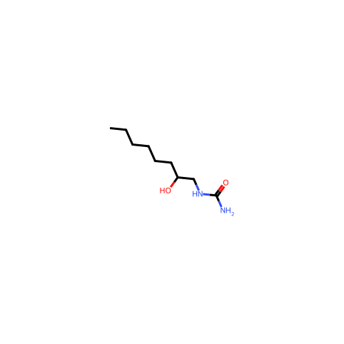 CCCCCCC(O)CNC(N)=O